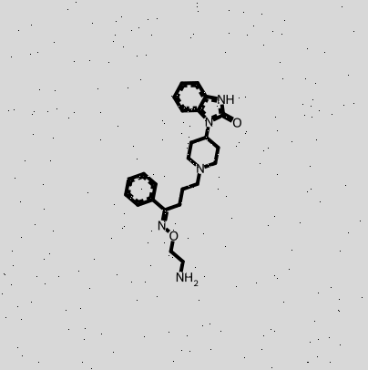 NCCO/N=C(\CCCN1CCC(n2c(=O)[nH]c3ccccc32)CC1)c1ccccc1